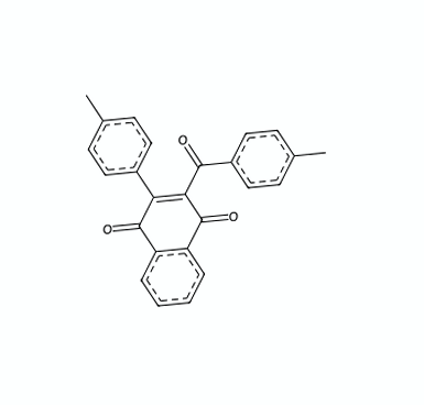 Cc1ccc(C(=O)C2=C(c3ccc(C)cc3)C(=O)c3ccccc3C2=O)cc1